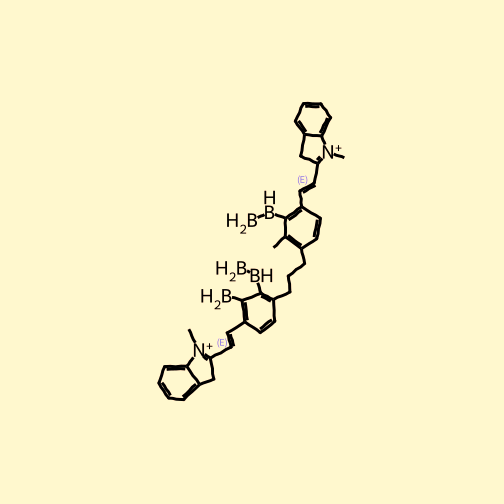 BBc1c(CCCc2ccc(/C=C/C3=[N+](C)c4ccccc4C3)c(BB)c2C)ccc(/C=C/C2=[N+](C)c3ccccc3C2)c1B